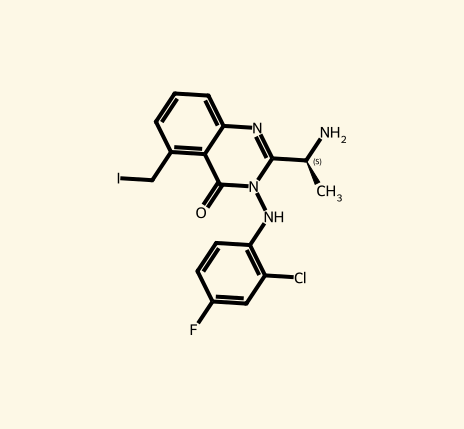 C[C@H](N)c1nc2cccc(CI)c2c(=O)n1Nc1ccc(F)cc1Cl